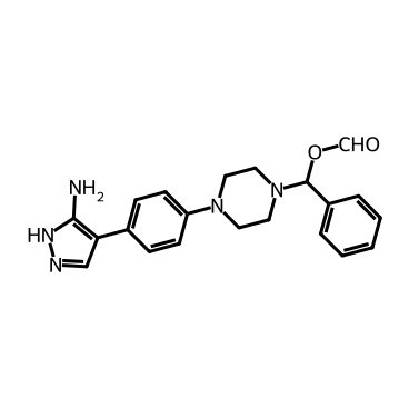 Nc1[nH]ncc1-c1ccc(N2CCN(C(OC=O)c3ccccc3)CC2)cc1